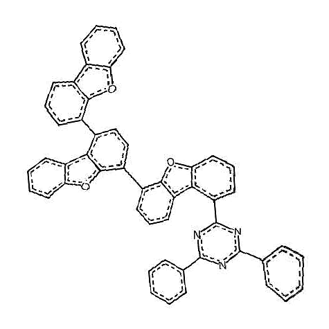 c1ccc(-c2nc(-c3ccccc3)nc(-c3cccc4oc5c(-c6ccc(-c7cccc8c7oc7ccccc78)c7c6oc6ccccc67)cccc5c34)n2)cc1